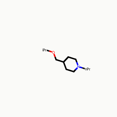 CCCN1CCC(COC(C)C)CC1